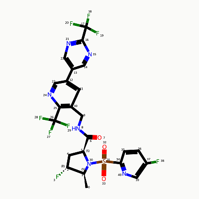 C[C@H]1[C@H](F)C[C@@H](C(=O)NCc2cc(-c3cnc(C(F)(F)F)nc3)cnc2C(F)(F)F)N1S(=O)(=O)c1ccc(F)cn1